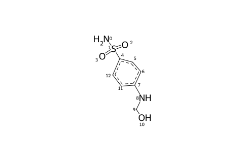 NS(=O)(=O)c1ccc(NCO)cc1